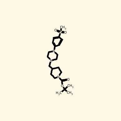 CC(C)(C)OC(=O)N1CCC(CN2CCN(c3ccc(S(C)(=O)=O)cc3)CC2)CC1